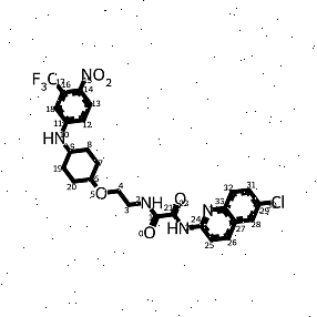 O=C(NCCOC1CCC(Nc2ccc([N+](=O)[O-])c(C(F)(F)F)c2)CC1)C(=O)Nc1ccc2cc(Cl)ccc2n1